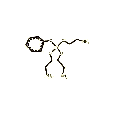 NCCO[Si](OCCN)(OCCN)Oc1ccccc1